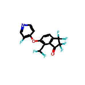 O=C1c2c(ccc(Oc3ccncc3F)c2C(F)F)C(F)(F)C1(F)F